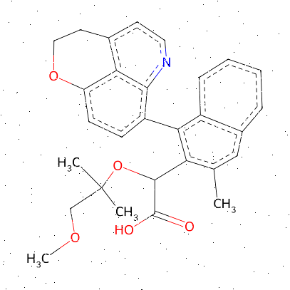 COCC(C)(C)OC(C(=O)O)c1c(C)cc2ccccc2c1-c1ccc2c3c(ccnc13)CCO2